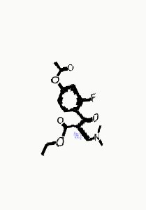 CCOC(=O)/C(=C/N(C)C)C(=O)c1ccc(OC(C)=O)cc1F